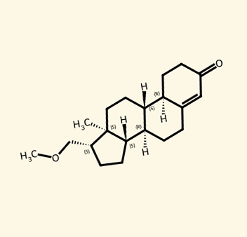 COC[C@H]1CC[C@H]2[C@@H]3CCC4=CC(=O)CC[C@@H]4[C@H]3CC[C@]12C